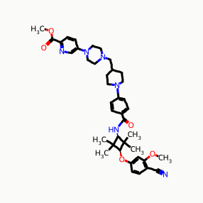 COC(=O)c1ccc(N2CCN(CC3CCN(c4ccc(C(=O)N[C@H]5C(C)(C)[C@H](Oc6ccc(C#N)c(OC)c6)C5(C)C)cc4)CC3)CC2)cn1